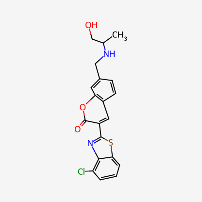 CC(CO)NCc1ccc2cc(-c3nc4c(Cl)cccc4s3)c(=O)oc2c1